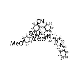 COc1ccc(S(=O)(=O)n2c(=O)n(C(C(=O)N3CCC(N4CCN(Cc5ccccc5)CC4)C3)c3ccccc3)c3cc(C#N)ccc32)cc1